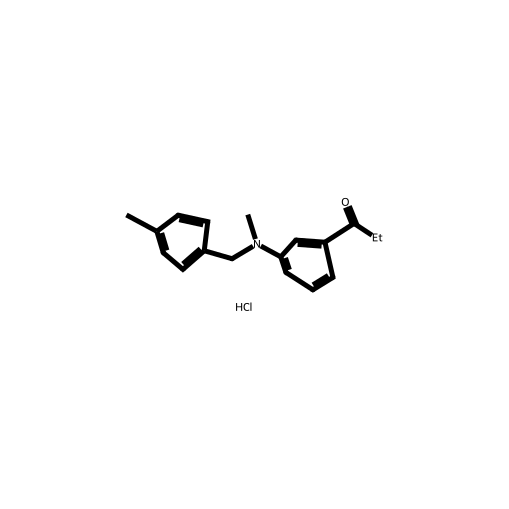 CCC(=O)c1cccc(N(C)Cc2ccc(C)cc2)c1.Cl